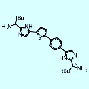 CC(C)(C)C(N)c1ncc(-c2ccc(-c3ccc(-c4cnc([C@@H](N)C(C)(C)C)[nH]4)cc3)s2)[nH]1